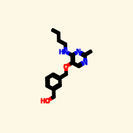 CCCCNc1nc(C)ncc1OCc1cccc(CO)c1